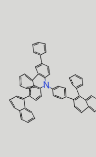 c1ccc(-c2ccc(N(c3ccc(-c4ccc5ccccc5c4-c4ccccc4)cc3)c3ccc(-c4cccc5ccccc45)cc3)c(-c3ccccc3)c2)cc1